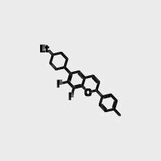 CCC1CCC(c2cc3c(c(F)c2F)OC(c2ccc(C)cc2)C=C3)CC1